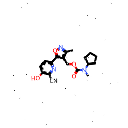 Cc1noc(-c2ccc(O)c(C#N)n2)c1COC(=O)N(C)C1CCCC1